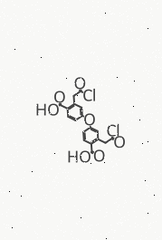 O=C(Cl)Cc1cc(Oc2ccc(C(=O)O)c(CC(=O)Cl)c2)ccc1C(=O)O